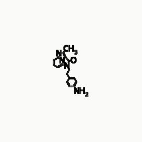 Cc1nc2cccc3n(CCc4ccc(N)cc4)c(=O)c1n23